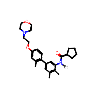 CCN(C(=O)C1CCCC1)c1cc(-c2ccc(OCCN3CCOCC3)cc2C)cc(C)c1C